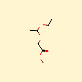 CCOC(C)OCC(=O)OC